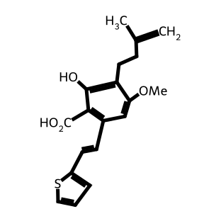 C=C(C)CCc1c(OC)cc(C=Cc2cccs2)c(C(=O)O)c1O